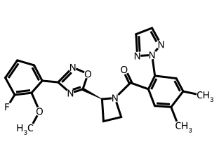 COc1c(F)cccc1-c1noc([C@@H]2CCN2C(=O)c2cc(C)c(C)cc2-n2nccn2)n1